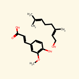 CC(C)=CCCC(C)=CCO.COc1cc(C=CC(=O)O)ccc1O